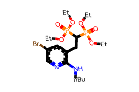 CCCCNc1ncc(Br)cc1CC(P(=O)(OCC)OCC)P(=O)(OCC)OCC